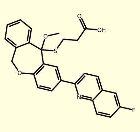 COC1(SCCC(=O)O)c2ccccc2COc2ccc(-c3ccc4cc(F)ccc4n3)cc21